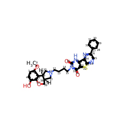 COc1ccc(O)c2c1[C@@H]1CN(CCCCn3c(=O)[nH]c4c(sc5ncc(-c6ccccc6)nc54)c3=O)C[C@@H]1CO2